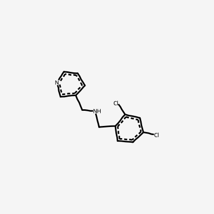 Clc1ccc(CNCc2cccnc2)c(Cl)c1